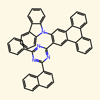 c1ccc(-c2nc(-c3cc4c5ccccc5c5ccccc5c4cc3-n3c4ccccc4c4ccccc43)nc(-c3cccc4ccccc34)n2)cc1